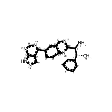 C[C@H](c1ccccc1)C(N)c1ncc2cc(-c3ncnc4[nH]ncc34)ccc2n1